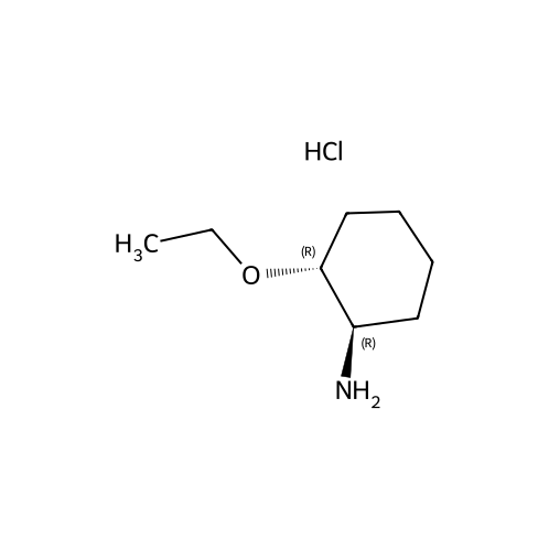 CCO[C@@H]1CCCC[C@H]1N.Cl